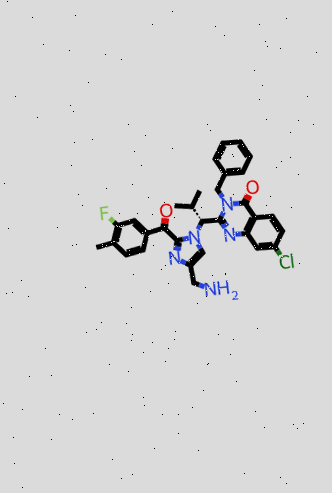 Cc1ccc(C(=O)c2nc(CN)cn2[C@@H](c2nc3cc(Cl)ccc3c(=O)n2Cc2ccccc2)C(C)C)cc1F